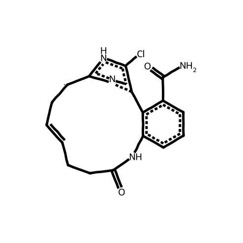 NC(=O)c1cccc2c1-c1nc([nH]c1Cl)[CH]C/C=C/CCC(=O)N2